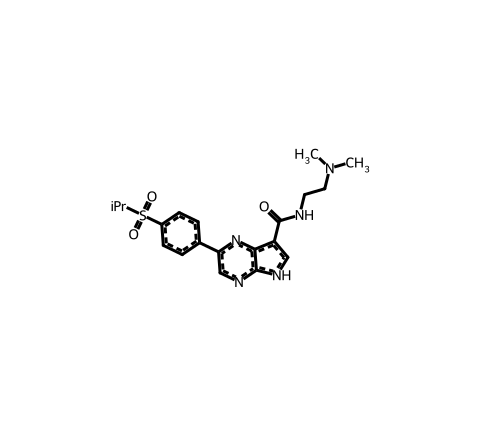 CC(C)S(=O)(=O)c1ccc(-c2cnc3[nH]cc(C(=O)NCCN(C)C)c3n2)cc1